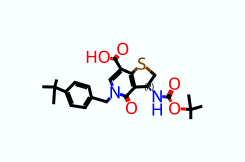 CC(C)(C)OC(=O)N[C@H]1CSc2c(C(=O)O)cn(Cc3ccc(C(C)(C)C)cc3)c(=O)c21